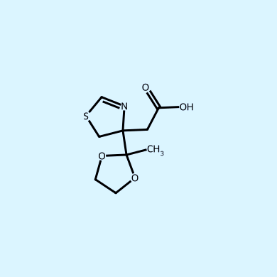 CC1(C2(CC(=O)O)CSC=N2)OCCO1